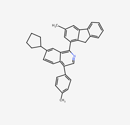 Cc1ccc(-c2cnc(-c3cc(C)cc4c3Cc3ccccc3-4)c3cc(C4CCCC4)ccc23)cc1